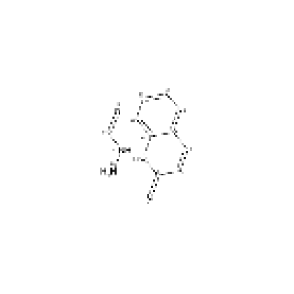 NNC=O.O=c1ccc2ccccc2o1